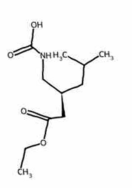 CCOC(=O)C[C@@H](CNC(=O)O)CC(C)C